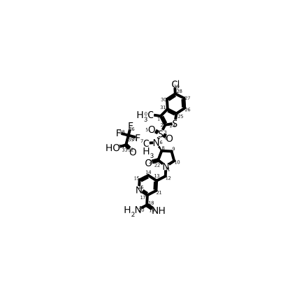 Cc1c(S(=O)(=O)N(C)[C@H]2CCN(Cc3ccnc(C(=N)N)c3)C2=O)sc2ccc(Cl)cc12.O=C(O)C(F)(F)F